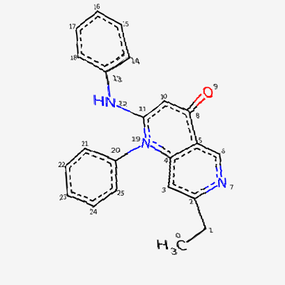 CCc1cc2c(cn1)c(=O)cc(Nc1ccccc1)n2-c1ccccc1